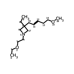 CCOCCN1CC(CC)(C/C=C/CCOC)C1